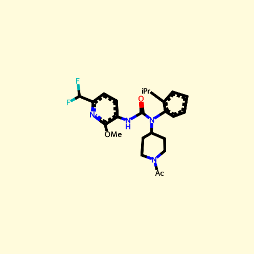 COc1nc(C(F)F)ccc1NC(=O)N(c1ccccc1C(C)C)C1CCN(C(C)=O)CC1